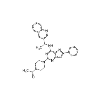 CC(=O)N1CCN(c2nc(NC(C)c3cnc4ccccc4c3)c3nn(-c4ccccc4)cc3n2)CC1